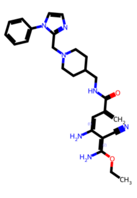 C=C(/C=C(N)\C(C#N)=C(/N)OCC)C(=O)NCC1CCN(Cc2nccn2-c2ccccc2)CC1